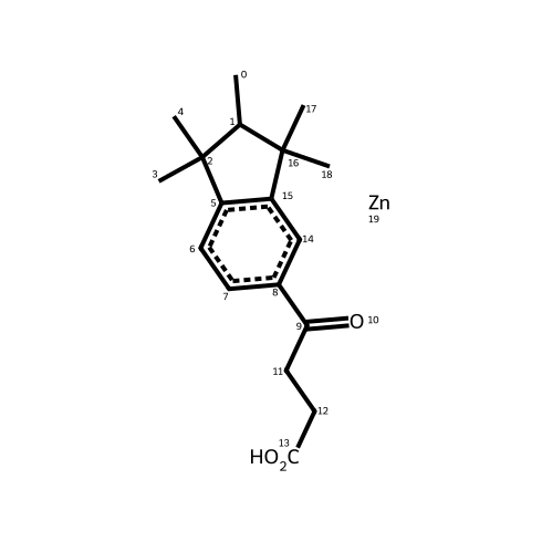 CC1C(C)(C)c2ccc(C(=O)CCC(=O)O)cc2C1(C)C.[Zn]